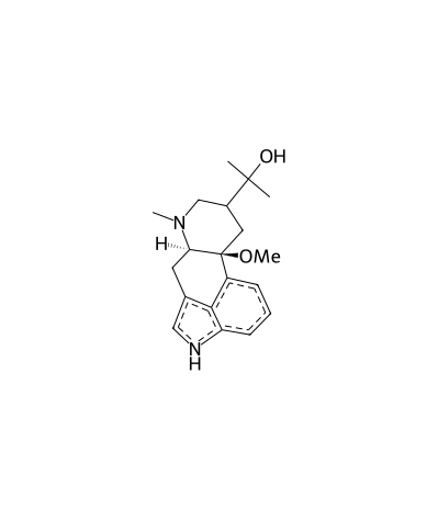 CO[C@]12CC(C(C)(C)O)CN(C)[C@@H]1Cc1c[nH]c3cccc2c13